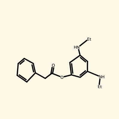 CCNc1cc(NCC)cc(OC(=O)Cc2ccccc2)c1